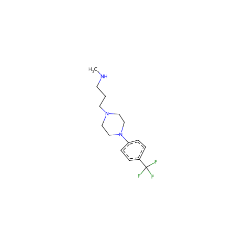 CNCCCN1CCN(c2ccc(C(F)(F)F)cc2)CC1